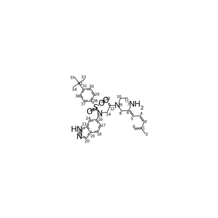 C=C(C)/C=C\C=C(/N)CN(CC)C(=O)CN(c1ccc2cn[nH]c2c1)S(=O)(=O)c1ccc(C(C)(C)C)cc1